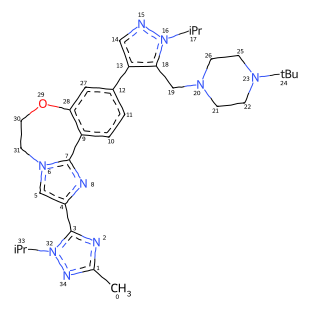 Cc1nc(-c2cn3c(n2)-c2ccc(-c4cnn(C(C)C)c4CN4CCN(C(C)(C)C)CC4)cc2OCC3)n(C(C)C)n1